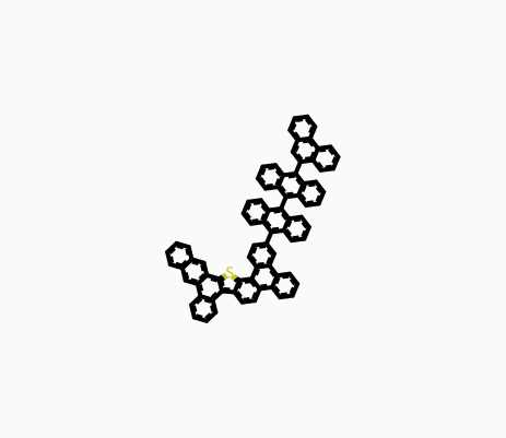 c1ccc2cc3c(cc2c1)c1ccccc1c1c2ccc4c5ccccc5c5cc(-c6c7ccccc7c(-c7c8ccccc8c(-c8cc9ccccc9c9ccccc89)c8ccccc78)c7ccccc67)ccc5c4c2sc31